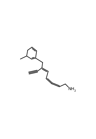 C#C/C(=C\C=C=CCN)CC1=CC(C)CC=C1